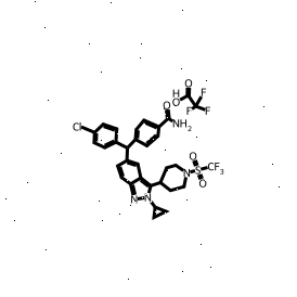 NC(=O)c1ccc(C(c2ccc(Cl)cc2)c2ccc3nn(C4CC4)c(C4CCN(S(=O)(=O)C(F)(F)F)CC4)c3c2)cc1.O=C(O)C(F)(F)F